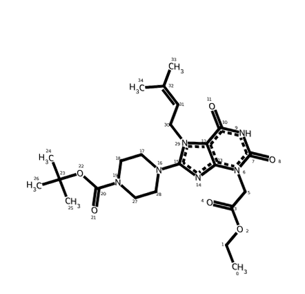 CCOC(=O)Cn1c(=O)[nH]c(=O)c2c1nc(N1CCN(C(=O)OC(C)(C)C)CC1)n2CC=C(C)C